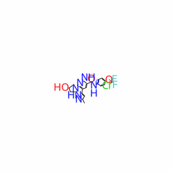 Cc1cc(-c2cc(C(=O)Nc3ccc(OC(F)(F)Cl)cc3)c(N)nc2N2CC[C@@H](O)C2)[nH]n1